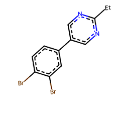 CCc1ncc(-c2ccc(Br)c(Br)c2)cn1